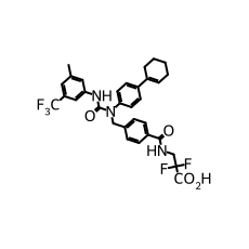 Cc1cc(NC(=O)N(Cc2ccc(C(=O)NCC(F)(F)C(=O)O)cc2)c2ccc(C3=CCCCC3)cc2)cc(C(F)(F)F)c1